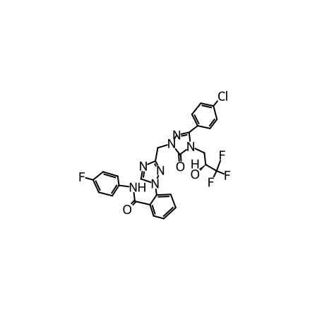 O=C(Nc1ccc(F)cc1)c1ccccc1-n1cnc(Cn2nc(-c3ccc(Cl)cc3)n(C[C@H](O)C(F)(F)F)c2=O)n1